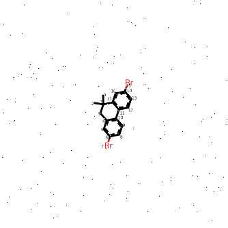 CC1(C)Cc2cc(Br)ccc2-c2ccc(Br)cc21